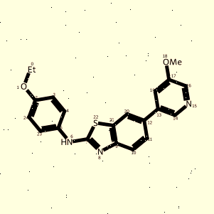 CCOc1ccc(Nc2nc3ccc(-c4cncc(OC)c4)cc3s2)cc1